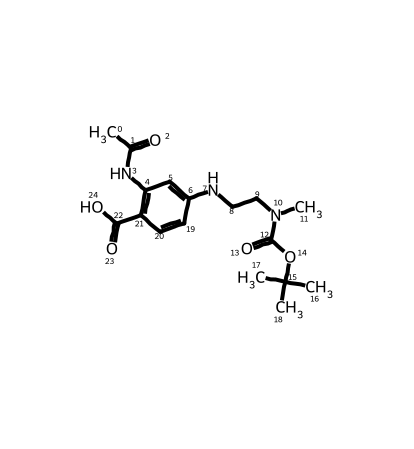 CC(=O)Nc1cc(NCCN(C)C(=O)OC(C)(C)C)ccc1C(=O)O